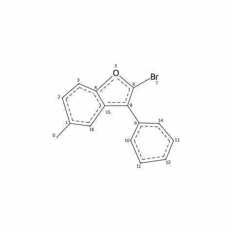 Cc1ccc2oc(Br)c(-c3ccccc3)c2c1